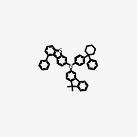 CC1(C)c2ccccc2-c2cc(N(c3ccc(C4(c5ccccc5)CCCCC4)cc3)c3ccc4c(c3)sc3cccc(-c5ccccc5)c34)ccc21